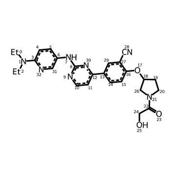 CCN(CC)c1ccc(Nc2nccc(-c3ccc(OC4CCN(C(=O)CO)C4)c(C#N)c3)n2)cn1